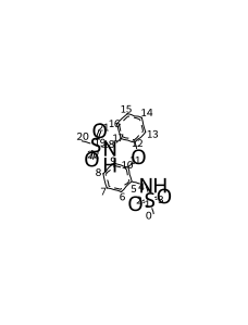 CS(=O)(=O)Nc1ccccc1Oc1ccccc1NS(C)(=O)=O